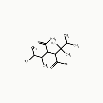 CC(C)C(C)C(C(N)=O)C(C(=O)O)C(C)(C)C(C)C